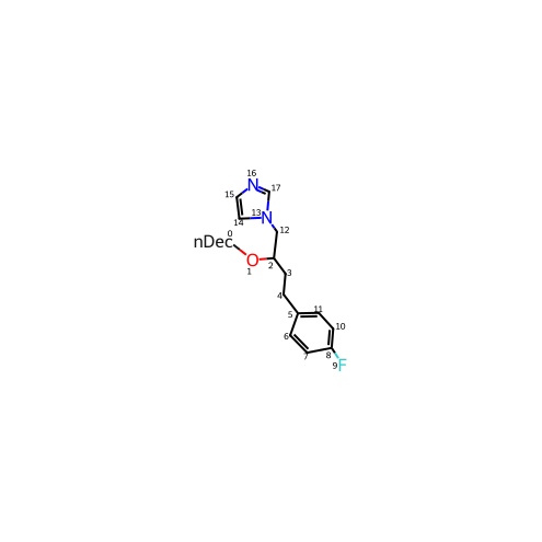 CCCCCCCCCCOC(CCc1ccc(F)cc1)Cn1ccnc1